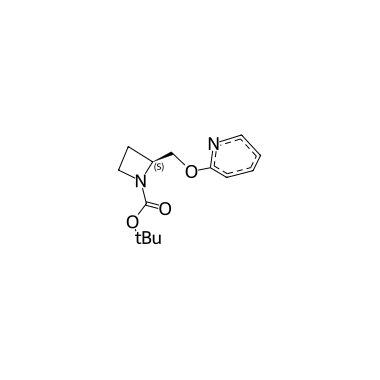 CC(C)(C)OC(=O)N1CC[C@H]1COc1ccccn1